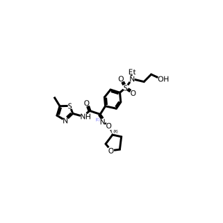 CCN(CCO)S(=O)(=O)c1ccc(/C(=N\O[C@@H]2CCOC2)C(=O)Nc2ncc(C)s2)cc1